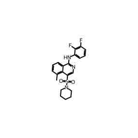 Cc1cccc2c(Nc3cccc(F)c3F)ncc(S(=O)(=O)N3CCCCC3)c12